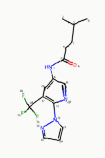 CC(C)CCC(=O)Nc1cnc(-n2cccn2)c(C(F)(F)F)c1